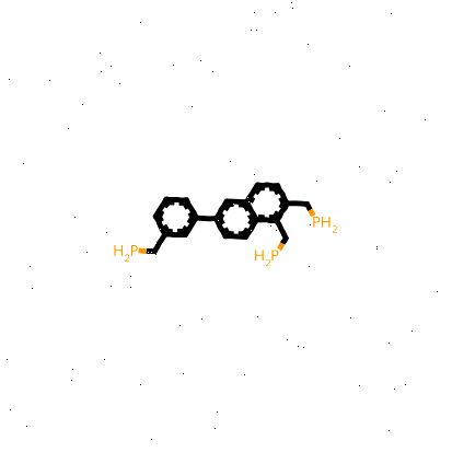 PCc1cccc(-c2ccc3c(CP)c(CP)ccc3c2)c1